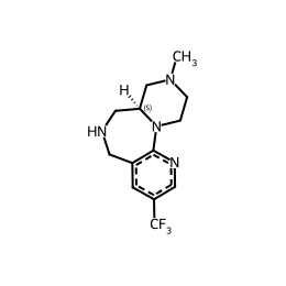 CN1CCN2c3ncc(C(F)(F)F)cc3CNC[C@H]2C1